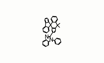 CC1(C)c2ccccc2C2(c3ccccc3-c3ccccc32)c2cc(-c3nc4ccccc4n3-c3ccccc3)ccc21